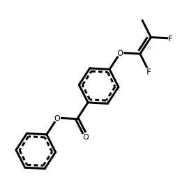 C/C(F)=C(/F)Oc1ccc(C(=O)Oc2ccccc2)cc1